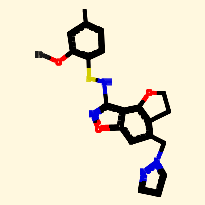 CCOc1cc(C)ccc1SNc1noc2cc(Cn3cccn3)c3c(c12)OCC3